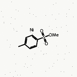 COS(=O)(=O)c1ccc(C)cc1.[Ni]